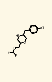 FC(F)OCC1CNC(Cc2ccc(Cl)cc2)CO1